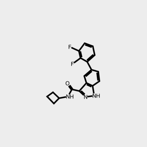 O=C(NC1CCC1)c1n[nH]c2ccc(-c3cccc(F)c3F)cc12